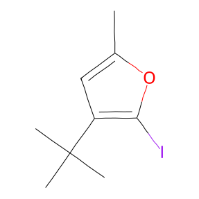 Cc1cc(C(C)(C)C)c(I)o1